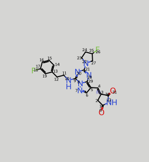 O=C1C/C(=C\c2cnn3c(NCCc4cccc(F)c4)nc(N4CCC(F)C4)nc23)C(=O)N1